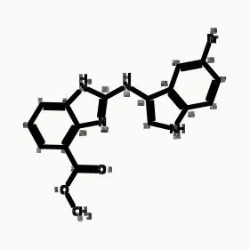 COC(=O)c1cccc2[nH]c(Nc3c[nH]c4ccc(Br)cc34)nc12